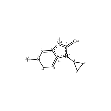 [2H]N1C=c2[nH]c(=O)n(C3CC3)c2=CC1